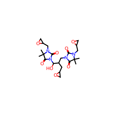 CC1(C)C(=O)N(CC(CC2CO2)C(O)N2C(=O)N(CC3CO3)C(C)(C)C2=O)C(=O)N1CC1CO1